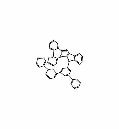 c1ccc(-c2cccc(-c3cc(-c4ccccc4)cc(-n4c5ccccc5c5nc6c7ccccc7c7ccccc7n6c54)c3)c2)cc1